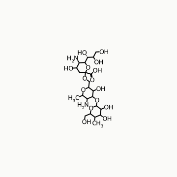 CC1OC(COC2(C(=O)O)CC(O)C(N)C([C@H](O)C(O)CO)O2)C(O)C(OC2OC(CO)C(C)C(O)C2O)C1N